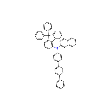 c1ccc(-c2ccc(-c3ccc(N(c4ccc5ccccc5c4)c4cccc5c4-c4ccccc4C5(c4ccccc4)c4ccccc4)cc3)cc2)cc1